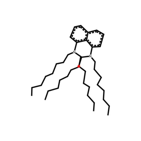 CCCCCCCCN(CCCCCCCC)c1cccc2cccc(N(CCCCCCCC)CCCCCCCC)c12